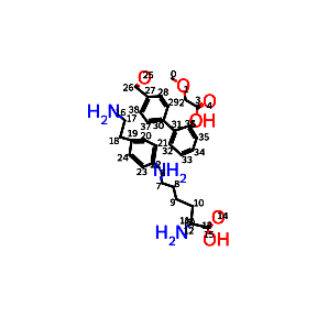 COCC(=O)O.NCCCC[C@H](N)C(=O)O.NCCc1ccccc1.O=Cc1ccc(-c2ccccc2)cc1